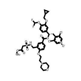 CC(C)(C)OC(=O)CS(=O)(=O)NCc1cc(C(=O)O[C@@H](Cc2c(Cl)c[n+]([O-])cc2Cl)c2ccc(OC(F)F)c(OCC3CC3)c2)ccc1OCCN1CCOCC1